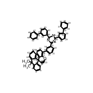 CC1(C)c2ccccc2C2(c3ccccc3Oc3c(-c4cccc(-c5nc(-c6cccc(-c7ccccc7)c6)nc(-c6cccc(-c7ccccc7)c6)n5)c4)cccc32)c2ccccc21